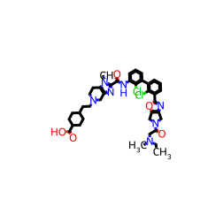 CCN(C)CC(=O)N1Cc2nc(-c3cccc(-c4cccc(NC(=O)c5nc6c(n5C)CCN(CCC5CCC(C(=O)O)CC5)C6)c4Cl)c3Cl)oc2C1